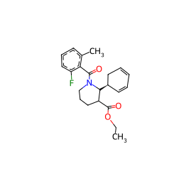 CCOC(=O)C1CCCN(C(=O)c2c(C)cccc2F)C1[C@@H]1C=CC=CC1